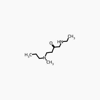 CCCN(C)CCC(=O)CNCC